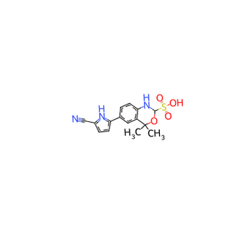 CC1(C)OC(S(=O)(=O)O)Nc2ccc(-c3ccc(C#N)[nH]3)cc21